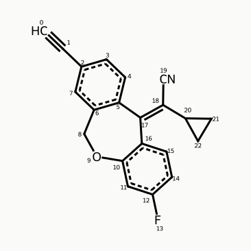 C#Cc1ccc2c(c1)COc1cc(F)ccc1/C2=C(/C#N)C1CC1